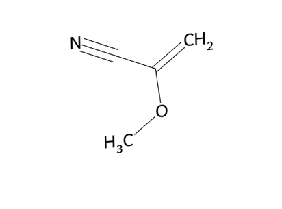 C=C(C#N)OC